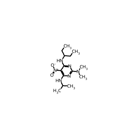 CCC(CC)Nc1nc(N(C)C)nc(NC(C)C)c1[N+](=O)[O-]